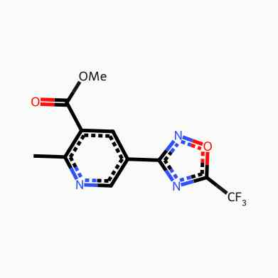 COC(=O)c1cc(-c2noc(C(F)(F)F)n2)cnc1C